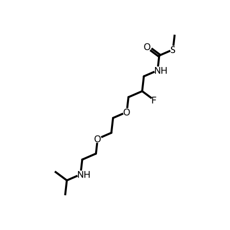 CSC(=O)NCC(F)COCCOCCNC(C)C